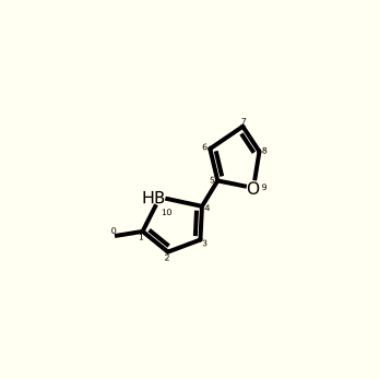 CC1=CC=C(c2ccco2)B1